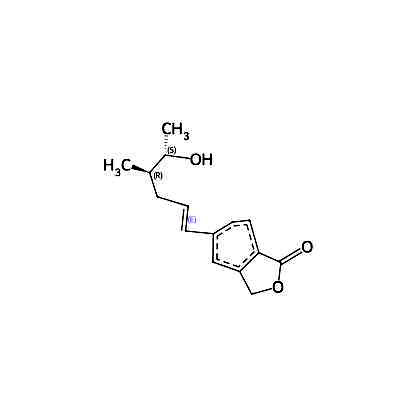 C[C@H](O)[C@H](C)C/C=C/c1ccc2c(c1)COC2=O